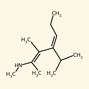 CC/C=C(\C(C)=C(/C)NC)C(C)C